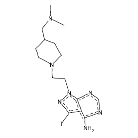 CN(C)CC1CCN(CCn2nc(I)c3c(N)ncnc32)CC1